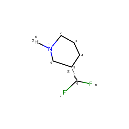 [2H]N1CCC[C@H](C(F)F)C1